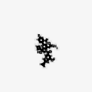 CCOc1c(CC(N)=O)cc([C@@](O)(CNC(=O)c2cc(OC)c3nc(C4CC4)cn3c2)C2CCC2)nc1-c1ccc(F)cc1